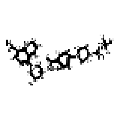 CC(N[C@@H]1C[C@H](C)CN(c2ccc(C#N)c3ncccc23)C1)c1ccc(N2CCN(C(=O)OC(C)(C)C)CC2)cc1